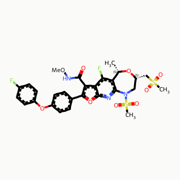 CONC(=O)c1c(-c2ccc(Oc3ccc(F)cc3)cc2)oc2nc3c(c(F)c12)[C@H](C)O[C@H](CS(C)(=O)=O)CN3S(C)(=O)=O